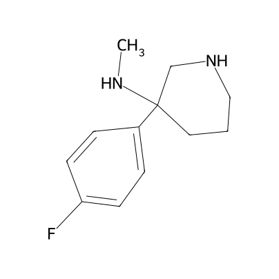 CNC1(c2ccc(F)cc2)CCCNC1